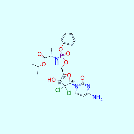 CC(C)OC(=O)C(C)NP(=O)(OC[C@H]1O[C@@H](n2ccc(N)nc2=O)C(Cl)(Cl)[C@@H]1O)Oc1ccccc1